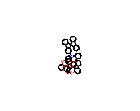 c1ccc2c(c1)Oc1ccccc1C21c2ccccc2-c2ccc(-c3ccccc3N(c3ccc4c(c3)C3(c5ccccc5-c5ccccc53)c3ccccc3-4)c3cccc4c3-c3ccccc3C43c4ccccc4Oc4ccccc43)cc21